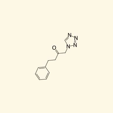 O=C(CCc1ccccc1)Cn1cnnn1